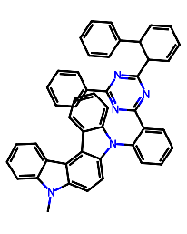 Cn1c2ccccc2c2c3c4ccccc4n(-c4ccccc4-c4nc(-c5ccccc5)nc(C5C=CC=CC5c5ccccc5)n4)c3ccc21